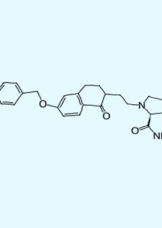 NC(=O)[C@@H]1CCCN1CCC1CCc2cc(OCc3ccccc3)ccc2C1=O